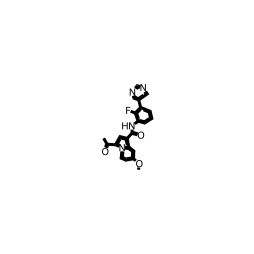 COc1ccn2c(C(C)=O)cc(C(=O)Nc3cccc(-c4cncnc4)c3F)c2c1